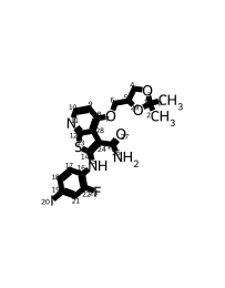 CC1(C)OCC(COc2ccnc3sc(Nc4ccc(I)cc4F)c(C(N)=O)c23)O1